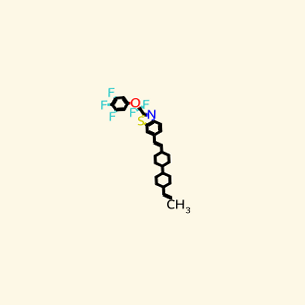 C/C=C/C1CCC(C2CCC(/C=C/c3ccc4nc(C(F)(F)Oc5cc(F)c(F)c(F)c5)sc4c3)CC2)CC1